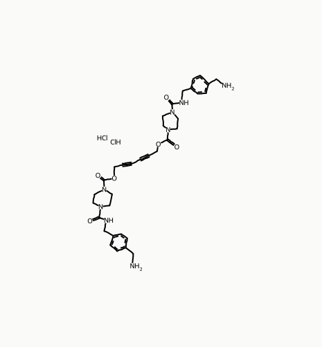 Cl.Cl.NCc1ccc(CNC(=O)N2CCN(C(=O)OCC#CC#CCOC(=O)N3CCN(C(=O)NCc4ccc(CN)cc4)CC3)CC2)cc1